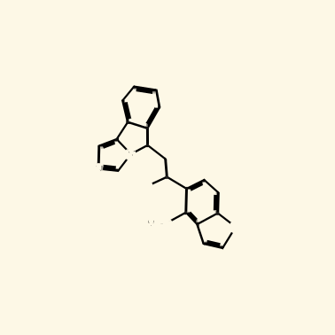 COc1c(C(O)CC2c3ccccc3-c3cncn32)ccc2occc12